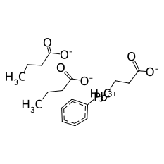 CCCC(=O)[O-].CCCC(=O)[O-].CCCC(=O)[O-].[Pb+3][c]1ccccc1